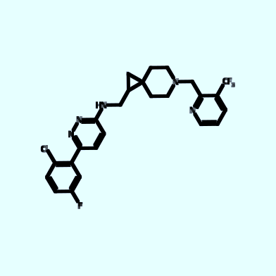 Fc1ccc(Cl)c(-c2ccc(NCC3CC34CCN(Cc3ncccc3C(F)(F)F)CC4)nn2)c1